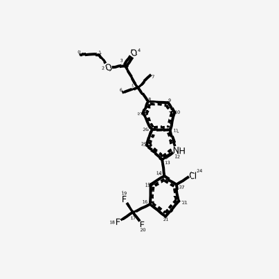 CCOC(=O)C(C)(C)c1ccc2[nH]c(-c3cc(C(F)(F)F)ccc3Cl)cc2c1